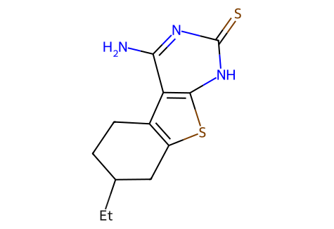 CCC1CCc2c(sc3[nH]c(=S)nc(N)c23)C1